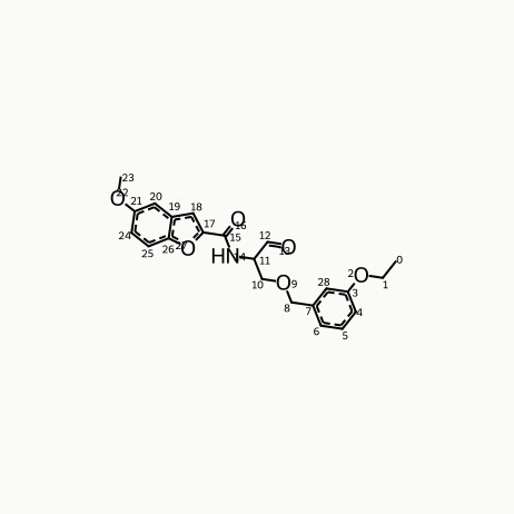 CCOc1cccc(COCC(C=O)NC(=O)c2cc3cc(OC)ccc3o2)c1